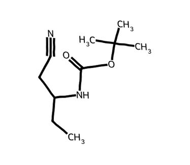 CCC(CC#N)NC(=O)OC(C)(C)C